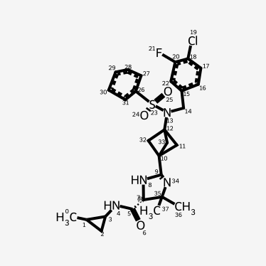 CC1CC1NC(=O)[C@@H]1NC(C23CC(N(Cc4ccc(Cl)c(F)c4)S(=O)(=O)c4ccccc4)(C2)C3)=NC1(C)C